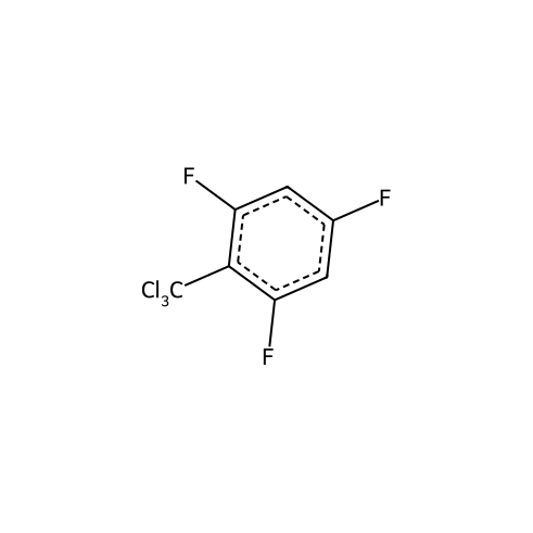 Fc1cc(F)c(C(Cl)(Cl)Cl)c(F)c1